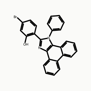 Oc1cc(Br)ccc1-c1nc2c3ccccc3c3ccccc3c2n1-c1ccccc1